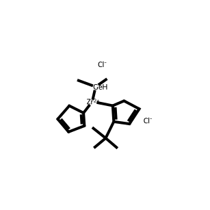 [CH3][GeH]([CH3])[Zr+2]([C]1=CC=CC1)[C]1=C(C(C)(C)C)C=CC1.[Cl-].[Cl-]